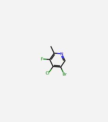 Cc1ncc(Br)c(Cl)c1F